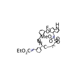 CCOC(=O)/C=C/C1=CC(C2CCCC(C)(C)CS(=O)(=O)/C(C(=O)OC)=C/c3c(c(F)cc4[nH]ccc34)Oc3cccc(c3)-c3ccn2n3)=CCC1